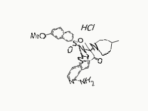 COc1ccc2ccc(S(=O)(=O)NC(C)(C(=O)c3cc4c(N)nccc4s3)N3CCC(C)CC3)cc2c1.Cl